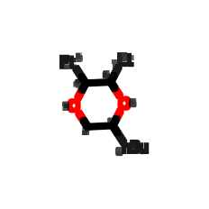 CCCCC1COC(CC)C(CC)O1